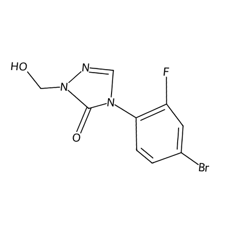 O=c1n(-c2ccc(Br)cc2F)cnn1CO